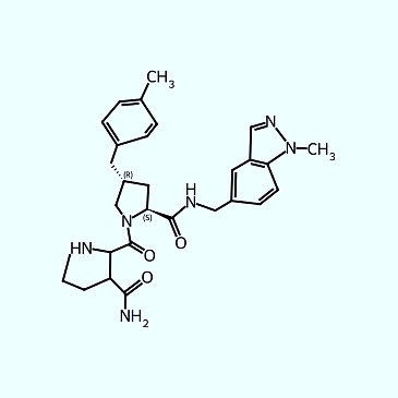 Cc1ccc(C[C@@H]2C[C@@H](C(=O)NCc3ccc4c(cnn4C)c3)N(C(=O)C3NCCCC3C(N)=O)C2)cc1